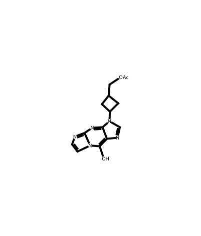 CC(=O)OCC1CC(n2cnc3c(O)n4ccnc4nc32)C1